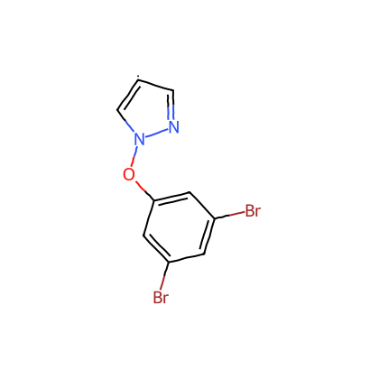 Brc1cc(Br)cc(On2c[c]cn2)c1